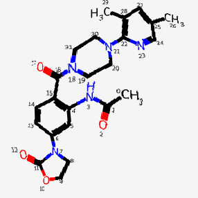 CC(=O)Nc1cc(N2CCOC2=O)ccc1C(=O)N1CCN(c2ncc(C)cc2C)CC1